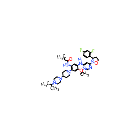 C=CC(=O)Nc1cc(Nc2cc(N3OCCC3c3ccc(F)cc3F)ncn2)c(OC)cc1N1CCC(N2CCN(C(C)C)CC2)CC1